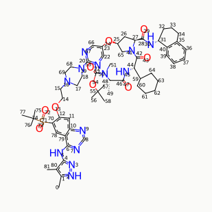 Cc1[nH]nc(Nc2ncnc3cc(OCCN4CCN(c5ncc(O[C@H]6C[C@@H](C(=O)N[C@@H]7CCCc8ccccc87)N(C(=O)[C@@H](NC(=O)[C@H](C)N(C)C(=O)OC(C)(C)C)C7CCCCC7)C6)cn5)CC4)c(S(=O)(=O)C(C)(C)C)cc23)c1C